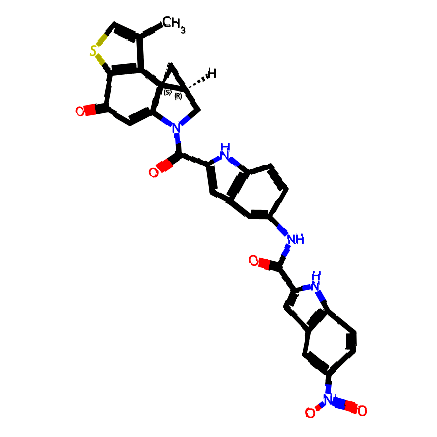 Cc1csc2c1[C@]13C[C@H]1CN(C(=O)c1cc4cc(NC(=O)c5cc6cc([N+](=O)[O-])ccc6[nH]5)ccc4[nH]1)C3=CC2=O